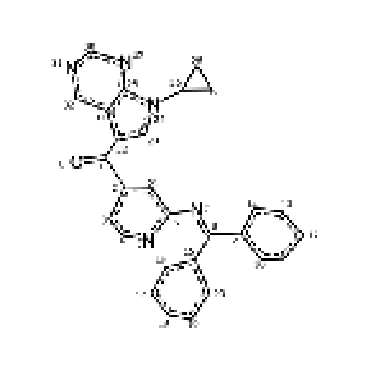 O=C(c1ccnc(N=C(c2ccccc2)c2ccccc2)c1)c1cn(C2CC2)c2ncncc12